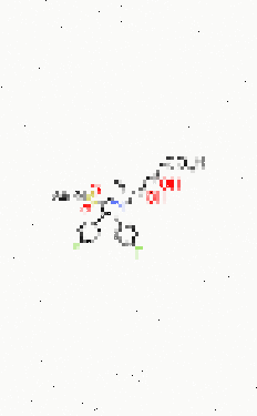 CNS(=O)(=O)c1c(-c2ccc(F)cc2)c(-c2ccc(F)cc2)n(CC[C@@H](O)C[C@@H](O)CC(=O)O)c1C(C)C